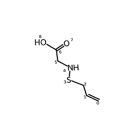 C=CCSNCC(=O)O